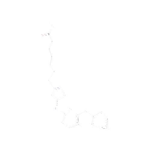 O=C(CCCCCCn1cc(Nc2ncc(Cl)c(Nc3ccc(Cl)cc3)n2)cn1)NO